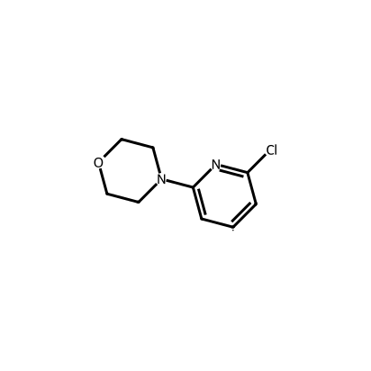 Clc1c[c]cc(N2CCOCC2)n1